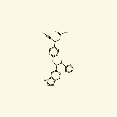 CC#CC(CC(=O)O)c1ccc(OC(c2ccc3cn[nH]c3c2)C(C)c2cn[nH]c2)cc1